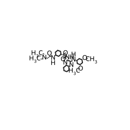 CCN(CC)CC(=O)Nc1cccc(S(=O)(=O)Nc2nc3ccccc3nc2Nc2cc(OC)cc(OC)c2)c1